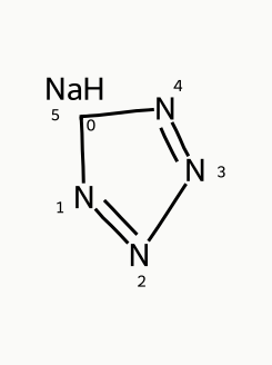 C1N=NN=N1.[NaH]